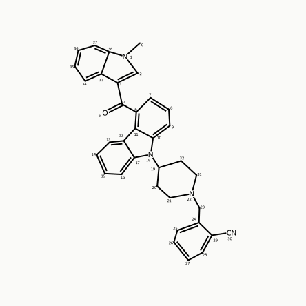 Cn1cc(C(=O)c2cccc3c2c2ccccc2n3C2CCN(Cc3ccccc3C#N)CC2)c2ccccc21